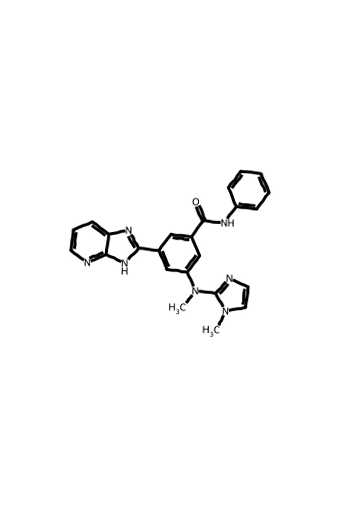 CN(c1cc(C(=O)Nc2ccccc2)cc(-c2nc3cccnc3[nH]2)c1)c1nccn1C